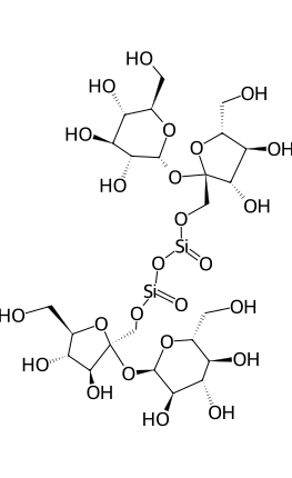 O=[Si](OC[C@@]1(O[C@H]2O[C@H](CO)[C@@H](O)[C@H](O)[C@H]2O)O[C@H](CO)[C@@H](O)[C@@H]1O)O[Si](=O)OC[C@@]1(O[C@H]2O[C@H](CO)[C@@H](O)[C@H](O)[C@H]2O)O[C@H](CO)[C@@H](O)[C@@H]1O